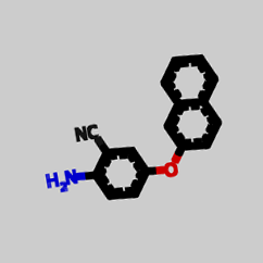 N#Cc1cc(Oc2ccc3ccccc3c2)ccc1N